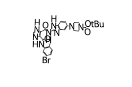 Cc1ccc(Br)cc1NC(=O)c1nc[nH]c1C(=O)Nc1nc2cc(N3CCN(C(=O)OC(C)(C)C)CC3)ccc2[nH]1